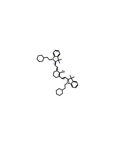 CC1(C)C(/C=C/C2=C(Br)C(=C/C=C3/N(CCC4CCCCC4)c4ccccc4C3(C)C)/CCC2)=[N+](CCC2CCCCC2)c2ccccc21